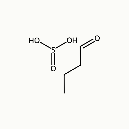 CCCC=O.O=S(O)O